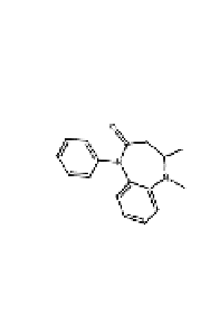 CC1CC(=O)N(c2ccccc2)c2ccccc2N1C